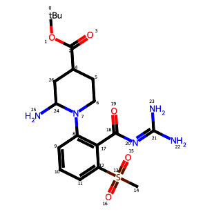 CC(C)(C)OC(=O)C1CCN(c2cccc(S(C)(=O)=O)c2C(=O)N=C(N)N)C(N)C1